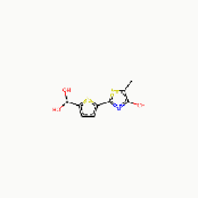 Cc1sc(-c2ccc(B(O)O)s2)nc1O